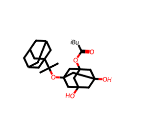 CCC(C)C(=O)OC12CC3(O)CC(O)(C1)CC(OC(C)(C)C14CC5CC(CC(C5)C1)C4)(C3)C2